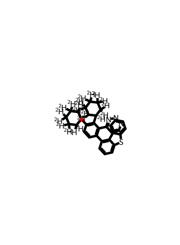 [2H]C1C([2H])([2H])C([2H])([2H])C([2H])([2H])C([2H])([2H])C1([2H])c1ccc(-c2cccc3sc4ccccc4c23)c(-c2ccnnn2)c1C1([2H])C([2H])C([2H])([2H])C([2H])([2H])C([2H])([2H])C1([2H])[2H]